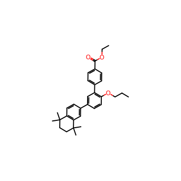 CCCOc1ccc(-c2ccc3c(c2)C(C)(C)CCC3(C)C)cc1-c1ccc(C(=O)OCC)cc1